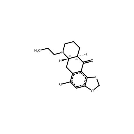 CCCN1CCC[C@H]2C(=O)c3c(c(Cl)cc4c3OCO4)C[C@@H]21